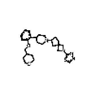 c1ccc(C2CCN(C3CCC4(C3)CN(c3nncs3)C4)CC2)c(OCC2CCOCC2)c1